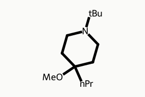 CCCC1(OC)CCN(C(C)(C)C)CC1